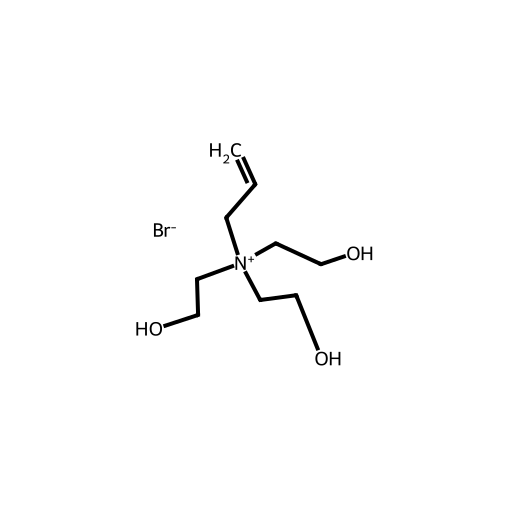 C=CC[N+](CCO)(CCO)CCO.[Br-]